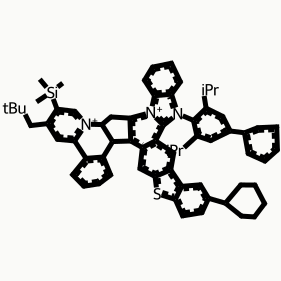 CC(C)c1cc(-c2ccccc2)cc(C(C)C)c1-n1c2ccccc2[n+]2c3c(c4cc5sc6ccc(C7CCCCC7)cc6c5cc4c12)C1c2ccccc2-c2cc(CC(C)(C)C)c([Si](C)(C)C)c[n+]2C1C3